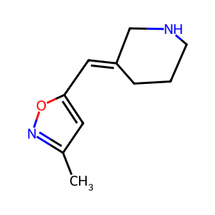 Cc1cc(/C=C2\CCCNC2)on1